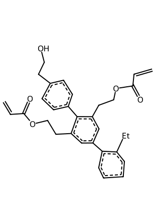 C=CC(=O)OCCc1cc(-c2ccccc2CC)cc(CCOC(=O)C=C)c1-c1ccc(CCO)cc1